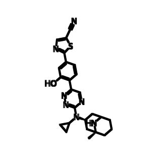 C[C@@]12CCCC(C[C@H](N(c3ncc(-c4ccc(-c5ncc(C#N)s5)cc4O)nn3)C3CC3)C1)N2